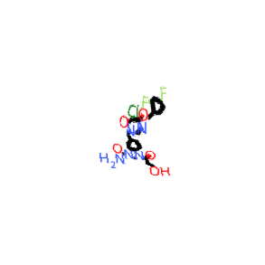 NC(=O)N1CN(C(=O)CCO)c2ccc(Cn3cnc(OCc4ccc(F)cc4F)c(Cl)c3=O)cc21